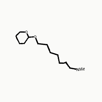 CNCCCCCCCOC1CCCCO1